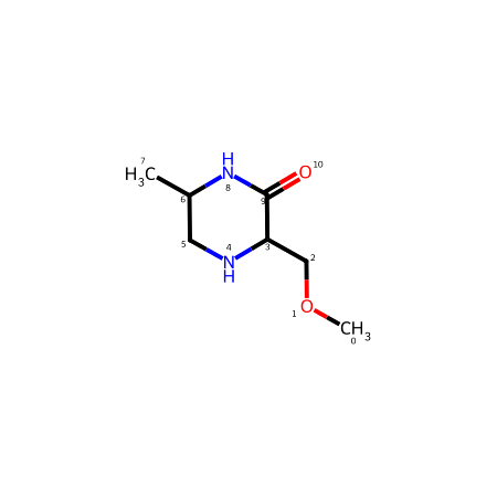 COCC1NCC(C)NC1=O